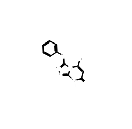 CCCc1cc(=O)[nH]c2nnc(Sc3ccccc3)n12